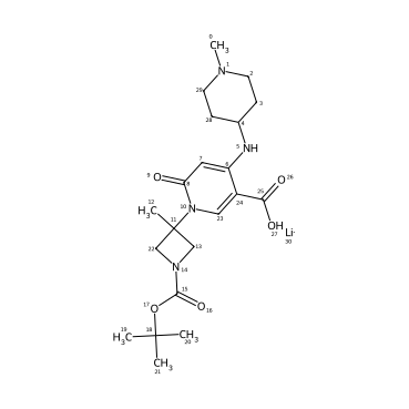 CN1CCC(Nc2cc(=O)n(C3(C)CN(C(=O)OC(C)(C)C)C3)cc2C(=O)O)CC1.[Li]